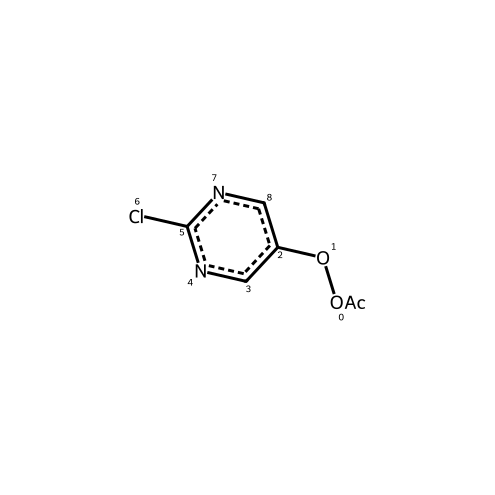 CC(=O)OOc1cnc(Cl)nc1